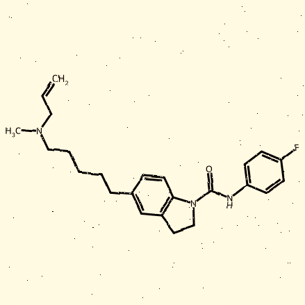 C=CCN(C)CCCCCc1ccc2c(c1)CCN2C(=O)Nc1ccc(F)cc1